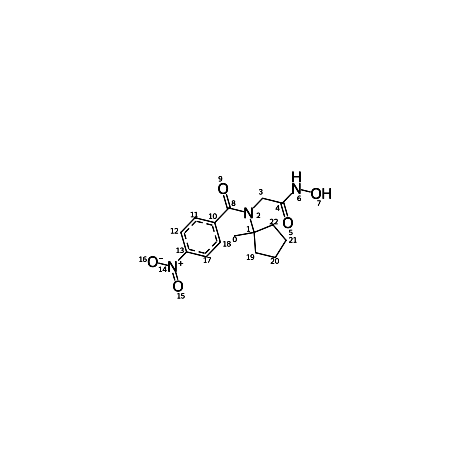 CC1(N(CC(=O)NO)C(=O)c2ccc([N+](=O)[O-])cc2)CCCC1